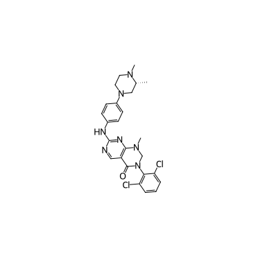 C[C@@H]1CN(c2ccc(Nc3ncc4c(n3)N(C)CN(c3c(Cl)cccc3Cl)C4=O)cc2)CCN1C